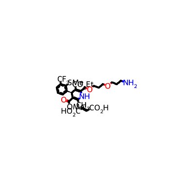 CCOC(=O)C1=C(COCCCOCCCN)NC(C)=C(C(=O)OC)[C@H]1c1cccc(C(F)(F)F)c1SC.O=C(O)C=CC(=O)O